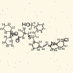 CC(C)(O)c1ccccc1CCC(SCC1(CC(=O)ON(C2CCCCC2)C2CCCCC2)CC1)c1cccc(/C=C/c2ccc3ccc(Cl)cc3n2)c1